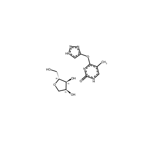 Cc1c[nH]c(=O)nc1Oc1c[nH]nn1.OC[C@H]1OC[C@H](O)[C@@H]1O